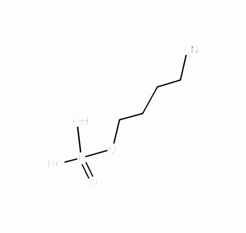 N#CCCCCOP(=O)(O)O